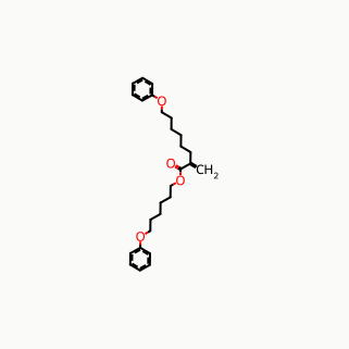 C=C(CCCCCCOc1ccccc1)C(=O)OCCCCCCOc1ccccc1